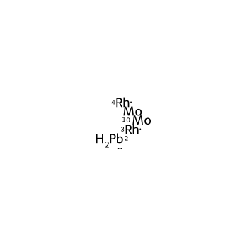 [Mo].[Mo].[PbH2].[Rh].[Rh]